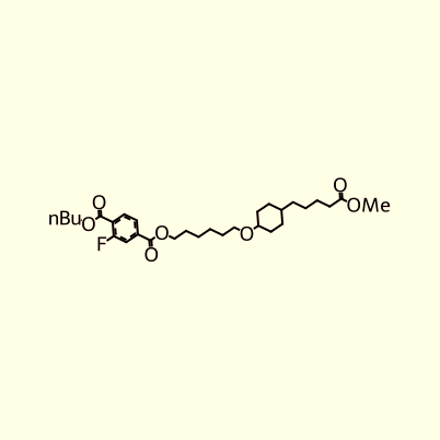 CCCCOC(=O)c1ccc(C(=O)OCCCCCCOC2CCC(CCCCC(=O)OC)CC2)cc1F